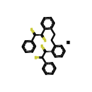 S=C(C(=S)c1ccccc1CCc1ccccc1C(=S)C(=S)c1ccccc1)c1ccccc1.[Ni]